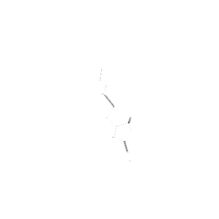 CCCCCCCCCCC/C=C/CC1CC(=O)OC1=O